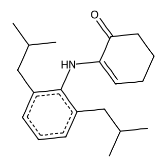 CC(C)Cc1cccc(CC(C)C)c1NC1=CCCCC1=O